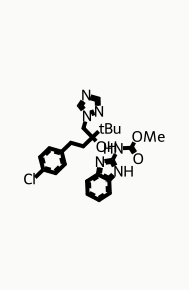 CC(C)(C)C(O)(CCc1ccc(Cl)cc1)Cn1cncn1.COC(=O)Nc1nc2ccccc2[nH]1